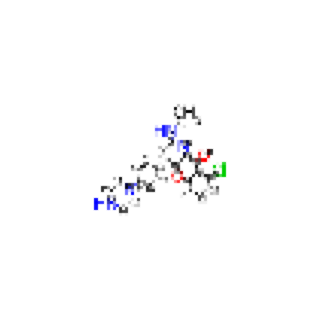 CCNc1cc(-c2ccc(N3CCNCC3)cc2)c2oc3cccc(Cl)c3c(=O)c2n1